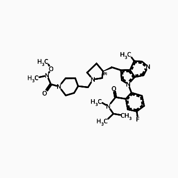 CON(C)C(=O)N1CCC(CN2CC[C@@H](Cc3cn(-c4ccc(F)cc4C(=O)N(C)C(C)C)c4cncc(C)c34)C2)CC1